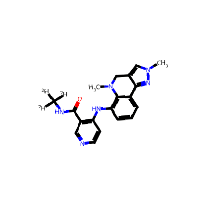 [2H]C([2H])([2H])NC(=O)c1cnccc1Nc1cccc2c1N(C)Cc1cn(C)nc1-2